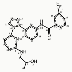 CC(O)CNc1nccc(-n2ccnc2-c2cccc(NC(=O)c3cccc(C(F)(F)F)c3)c2)n1